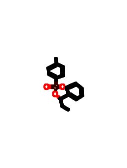 CCC(OS(=O)(=O)c1ccc(C)cc1)c1ccccc1